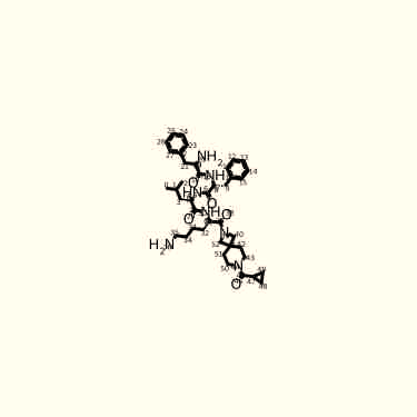 CC(C)C[C@@H](NC(=O)[C@@H](Cc1ccccc1)NC(=O)[C@H](N)Cc1ccccc1)C(=O)N[C@H](CCCCN)C(=O)N1CC2(CCN(C(=O)C3CC3)CC2)C1